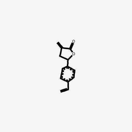 C=Cc1ccc(C2CC(=C)C(=O)O2)cc1